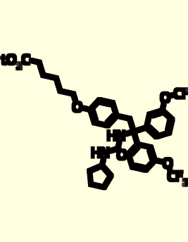 CCOC(=O)CCCCCOc1ccc(CC(NC(=O)NC2CCCC2)(c2cccc(OC(F)(F)F)c2)c2cccc(OC(F)(F)F)c2)cc1